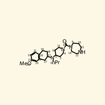 CCCN(C1CCN(C(=O)N2CCCNCC2)CC1)C1CCc2ccc(OC)cc2C1